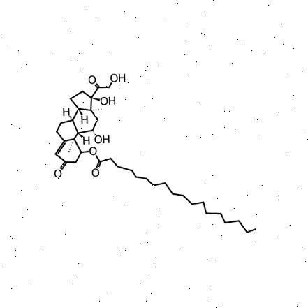 CCCCCCCCCCCCCCCCCC(=O)OC1CC(=O)C=C2CC[C@@H]3[C@H]([C@@H](O)C[C@@]4(C)[C@H]3CC[C@]4(O)C(=O)CO)[C@]21C